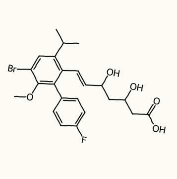 COc1c(Br)cc(C(C)C)c(/C=C/C(O)CC(O)CC(=O)O)c1-c1ccc(F)cc1